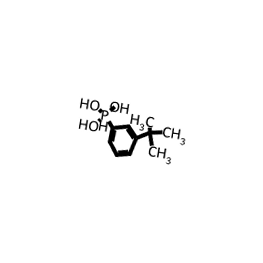 CC(C)(C)c1cccc([PH](O)(O)O)c1